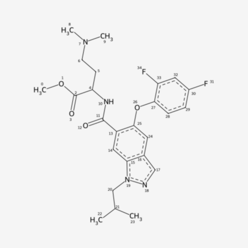 COC(=O)C(CCN(C)C)NC(=O)c1cc2c(cnn2CC(C)C)cc1Oc1ccc(F)cc1F